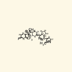 CN(C1CCN(c2nnc(-c3ccnn3C)c3c2CCC3)CC1)S(=O)(=O)c1ccc(F)cc1C(F)(F)F